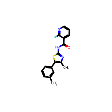 Cc1cccc(-c2sc(NC(=O)c3cccnc3F)nc2C)c1